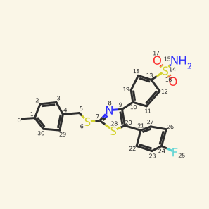 Cc1ccc(CSc2nc(-c3ccc(S(N)(=O)=O)cc3)c(-c3ccc(F)cc3)s2)cc1